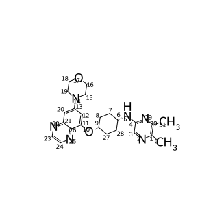 Cc1ncc(N[C@H]2CC[C@@H](Oc3cc(N4CCOCC4)cc4nccnc34)CC2)nc1C